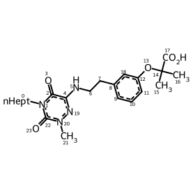 CCCCCCCn1c(=O)c(NCCc2cccc(OC(C)(C)C(=O)O)c2)nn(C)c1=O